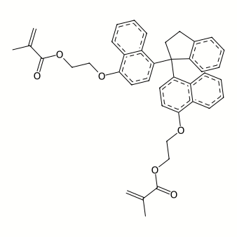 C=C(C)C(=O)OCCOc1ccc(C2(c3ccc(OCCOC(=O)C(=C)C)c4ccccc34)CCc3ccccc32)c2ccccc12